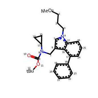 COCCCn1cc(CN(C(=O)OC(C)(C)C)C2CC2)c2c(-c3ccccc3)cccc21